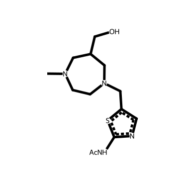 CC(=O)Nc1ncc(CN2CCN(C)CC(CO)C2)s1